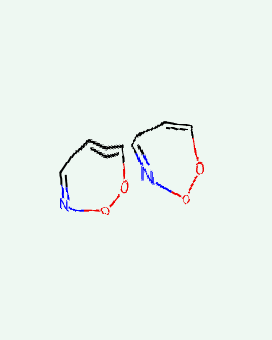 C1=COON=C1.C1=COON=C1